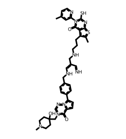 Cc1ccnc(-n2c(S)nc3sc(C)c(CCCNC/C(C=N)=C/NCc4ccc(-c5ccc6c(=O)n(CC7(O)CCN(C)CC7)cnn56)cc4)c3c2=O)c1